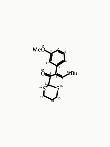 COc1cccc(/C(=C\C(C)(C)C)C(=O)C2SCCCS2)c1